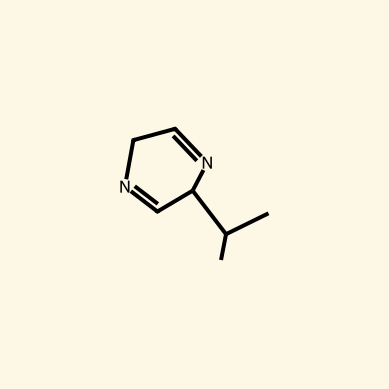 CC(C)C1C=NCC=N1